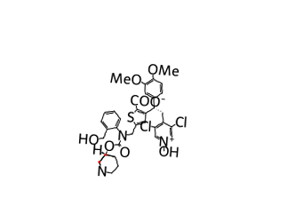 COc1ccc([C@H](Cc2c(Cl)c[n+](O)cc2Cl)c2cc(CN(C(=O)O[C@H]3CN4CCC3CC4)c3ccccc3CO)sc2C(=O)[O-])cc1OC